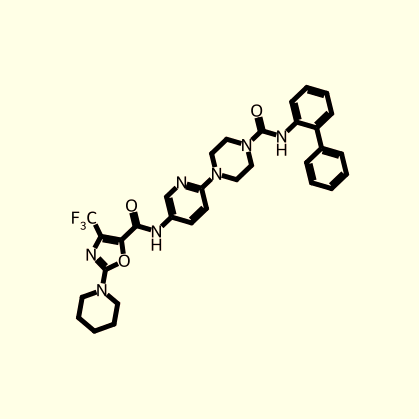 O=C(Nc1ccc(N2CCN(C(=O)Nc3ccccc3-c3ccccc3)CC2)nc1)c1oc(N2CCCCC2)nc1C(F)(F)F